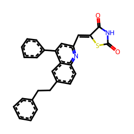 O=C1NC(=O)C(=Cc2cc(-c3ccccc3)c3cc(CCc4ccccc4)ccc3n2)S1